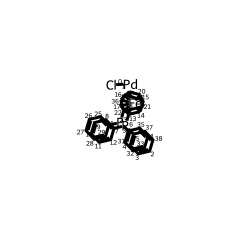 [Cl][Pd].c1ccc(P(c2ccccc2)[C]23[CH]4[CH]5[CH]6[CH]2[Fe]56432789[CH]3[CH]2[CH]7[C]8(P(c2ccccc2)c2ccccc2)[CH]39)cc1